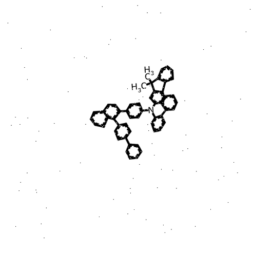 CC1(C)c2ccccc2-c2ccc(N(c3ccc(-c4ccc5ccccc5c4-c4ccc(-c5ccccc5)cc4)cc3)c3ccccc3-c3ccccc3)cc21